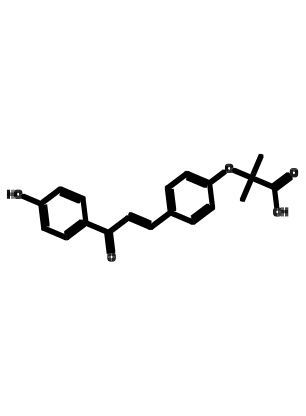 CC(C)(Oc1ccc(C=CC(=O)c2ccc(O)cc2)cc1)C(=O)O